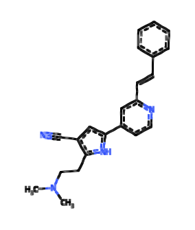 CN(C)CCc1[nH]c(-c2ccnc(C=Cc3ccccc3)c2)cc1C#N